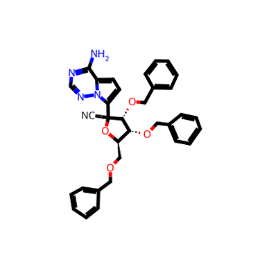 N#CC1(c2ccc3c(N)ncnn23)O[C@H](COCc2ccccc2)[C@@H](OCc2ccccc2)[C@H]1OCc1ccccc1